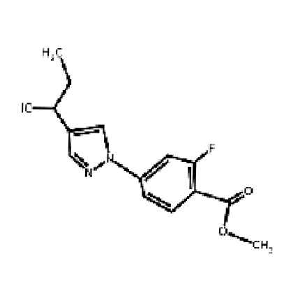 CCC(O)c1cnn(-c2ccc(C(=O)OC)c(F)c2)c1